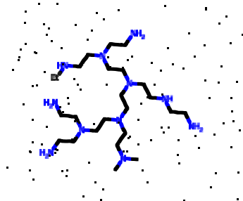 CCNCCN(CCN)CCN(CCNCCN)CCN(CCN(C)C)CCN(CCN)CCN